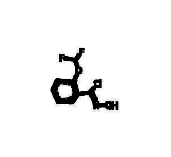 ON=C(Cl)c1ccccc1OC(F)F